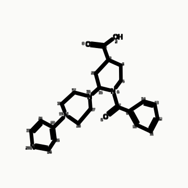 O=C(O)C1CCN(C(=O)c2ccccc2)C(N2CCN(c3ccncc3)CC2)C1